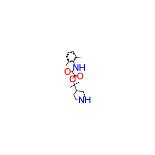 Cc1cccc(C)c1NC(=O)C(=O)OC(C)(C)C1CCNCC1